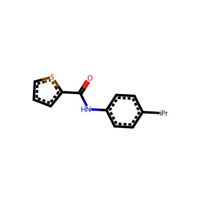 CC(C)c1ccc(NC(=O)c2cccs2)cc1